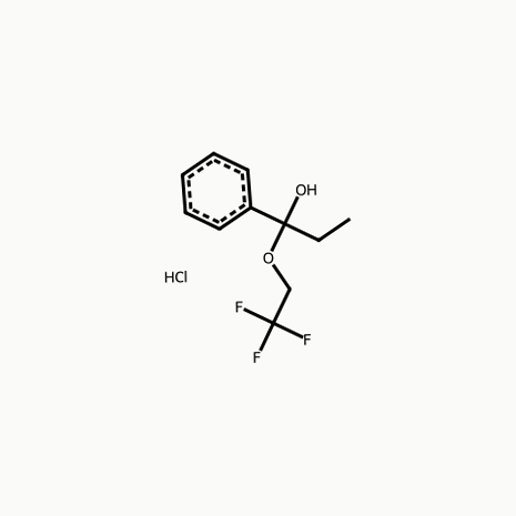 CCC(O)(OCC(F)(F)F)c1ccccc1.Cl